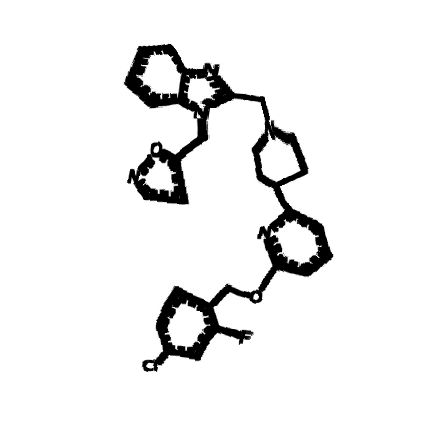 Fc1cc(Cl)ccc1COc1cccc(C2CCN(Cc3nc4ccccc4n3Cc3ccno3)CC2)n1